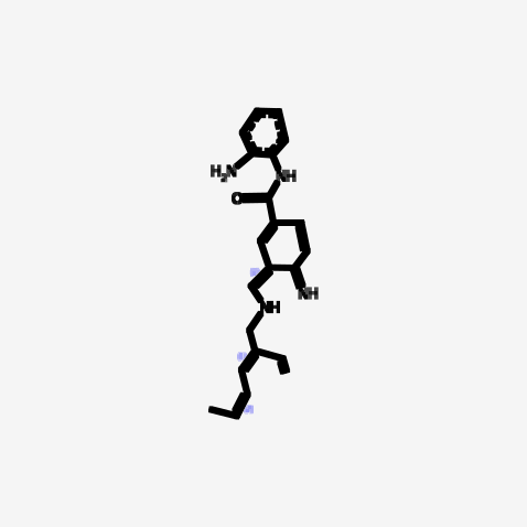 C=C/C(=C\C=C/C)CN/C=C1/C=C(C(=O)Nc2ccccc2N)C=CC1=N